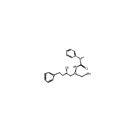 CC(C)CN(C[C@H](O)CCc1ccccc1)NC(=O)N(C)c1ccccc1